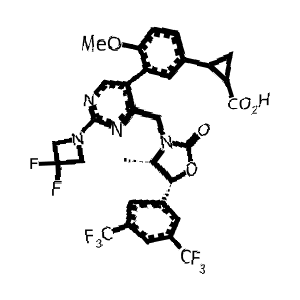 COc1ccc(C2CC2C(=O)O)cc1-c1cnc(N2CC(F)(F)C2)nc1CN1C(=O)O[C@H](c2cc(C(F)(F)F)cc(C(F)(F)F)c2)[C@@H]1C